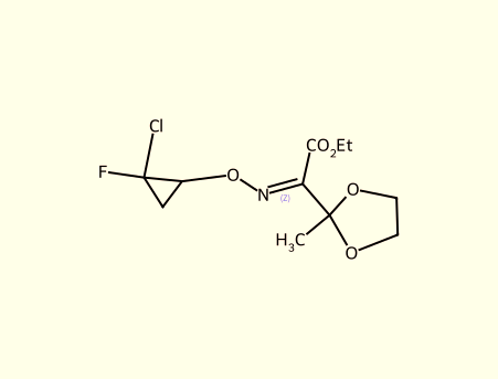 CCOC(=O)/C(=N\OC1CC1(F)Cl)C1(C)OCCO1